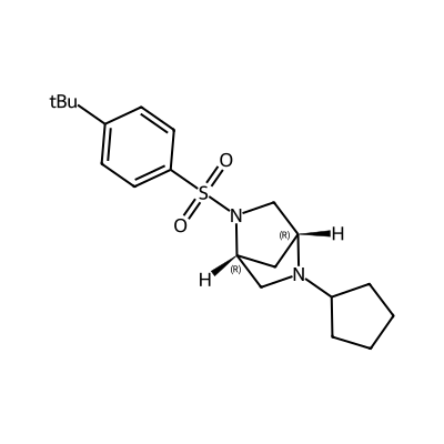 CC(C)(C)c1ccc(S(=O)(=O)N2C[C@H]3C[C@@H]2CN3C2CCCC2)cc1